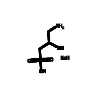 NCC(O)CS(=O)(=O)O.[NaH]